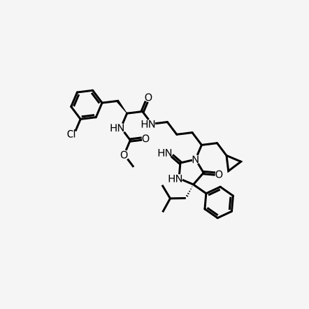 COC(=O)N[C@@H](Cc1cccc(Cl)c1)C(=O)NCCCC(CC1CC1)N1C(=N)N[C@](CC(C)C)(c2ccccc2)C1=O